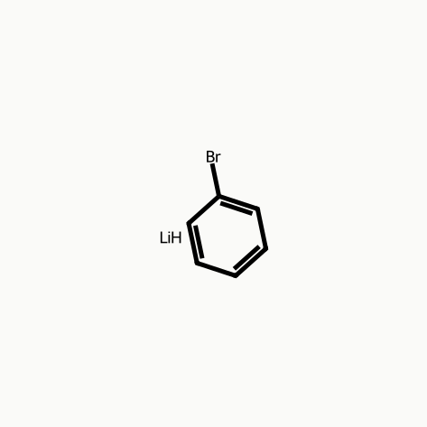 Brc1ccccc1.[LiH]